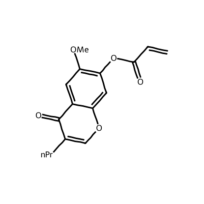 C=CC(=O)Oc1cc2occ(CCC)c(=O)c2cc1OC